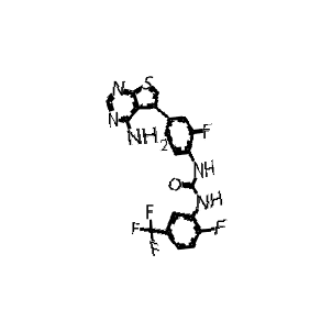 Nc1ncnc2scc(-c3ccc(NC(=O)Nc4cc(C(F)(F)F)ccc4F)c(F)c3)c12